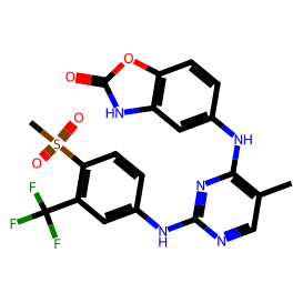 Cc1cnc(Nc2ccc(S(C)(=O)=O)c(C(F)(F)F)c2)nc1Nc1ccc2oc(=O)[nH]c2c1